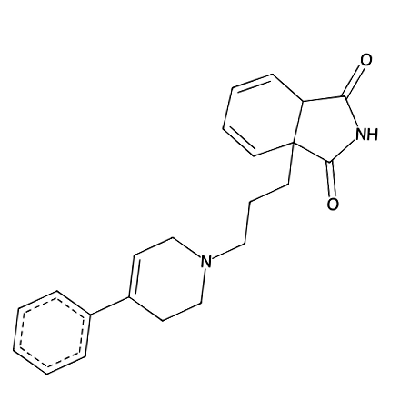 O=C1NC(=O)C2(CCCN3CC=C(c4ccccc4)CC3)C=CC=CC12